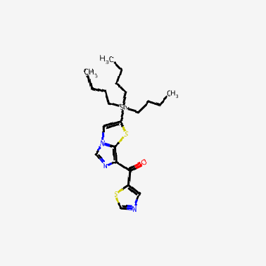 CCC[CH2][Sn]([CH2]CCC)([CH2]CCC)[c]1cn2cnc(C(=O)c3cncs3)c2s1